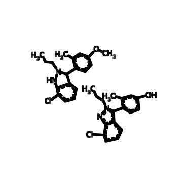 CCCN1Nc2c(Cl)cccc2C1c1ccc(OC)cc1C.CCCn1nc2c(Cl)cccc2c1-c1ccc(O)cc1C